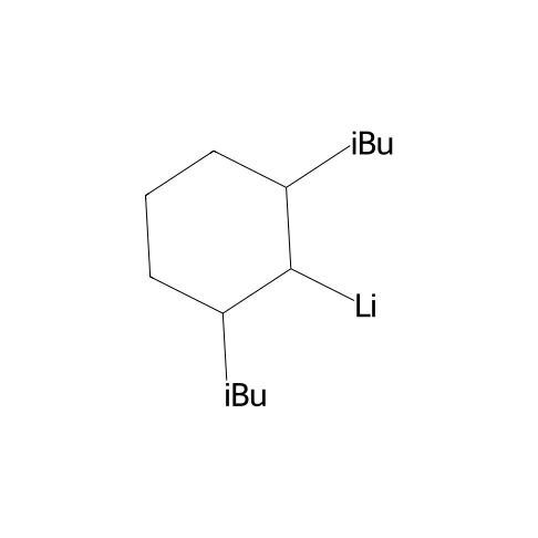 [Li][CH]1C(C(C)CC)CCCC1C(C)CC